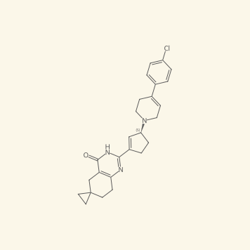 O=c1[nH]c(C2=C[C@@H](N3CC=C(c4ccc(Cl)cc4)CC3)CC2)nc2c1CC1(CC2)CC1